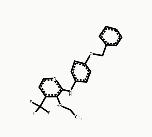 CCNc1c(C(F)(F)F)ccnc1Nc1ccc(OCc2ccccc2)cc1